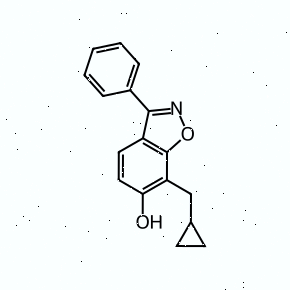 Oc1ccc2c(-c3ccccc3)noc2c1CC1CC1